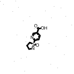 O=C(O)c1ccc(S2(=O)=NCCC2)nc1